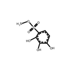 O=S(=O)(O[SiH3])c1ccc(O)c(O)c1O